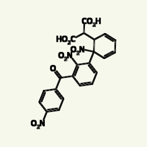 O=C(c1ccc([N+](=O)[O-])cc1)c1cccc(C2([N+](=O)[O-])C=CC=CC2C(C(=O)O)C(=O)O)c1[N+](=O)[O-]